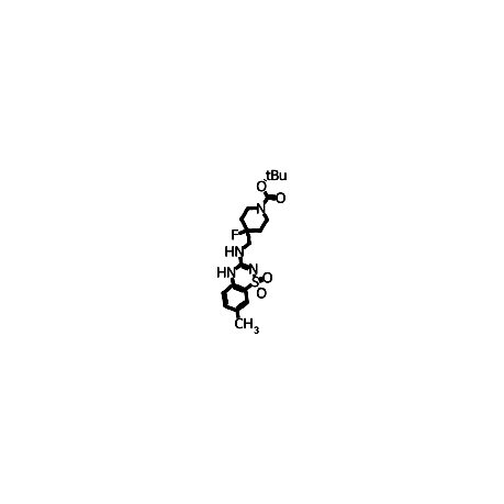 Cc1ccc2c(c1)S(=O)(=O)N=C(NCC1(F)CCN(C(=O)OC(C)(C)C)CC1)N2